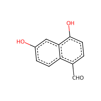 O=Cc1ccc(O)c2cc(O)ccc12